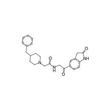 O=C(CN1CCC(Cc2ccccc2)CC1)NCC(=O)c1ccc2c(c1)CC(=O)N2